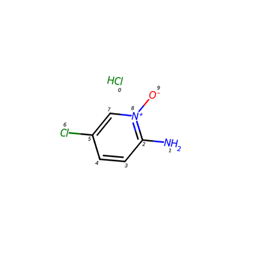 Cl.Nc1ccc(Cl)c[n+]1[O-]